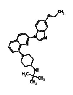 CCOc1ccc2c(c1)ncn2-c1ccc2cccc(N3CCC(NC(C)(C)C)CC3)c2n1